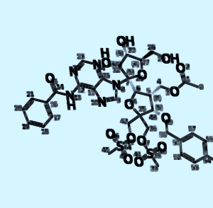 CC(=O)OC[C@H]1C([C@@]2(n3cnc4c(NC(=O)c5ccccc5)ncnc43)O[C@H](CO)[C@@H](O)[C@H]2O)OC(COS(C)(=O)=O)(COS(C)(=O)=O)[C@H]1OCc1ccc(Cl)cc1